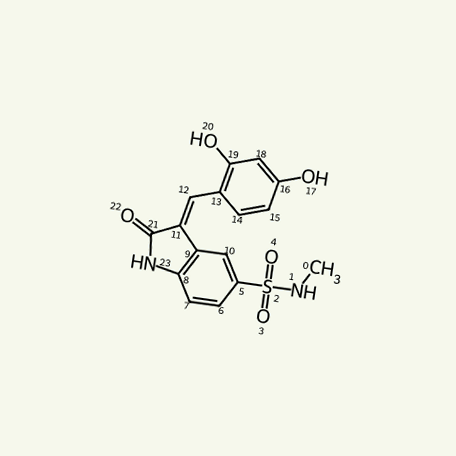 CNS(=O)(=O)c1ccc2c(c1)C(=Cc1ccc(O)cc1O)C(=O)N2